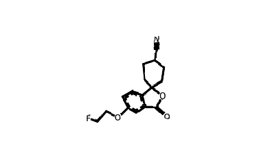 N#CC1CCC2(CC1)OC(=O)c1cc(OCCF)ccc12